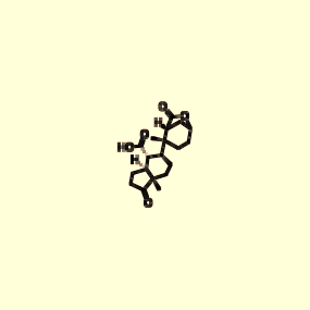 C[C@]1([C@H]2CC[C@]3(C)C(=O)CC[C@H]3[C@@H]2C(=O)O)CCC2C[C@H]1C(=O)O2